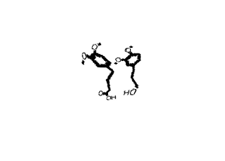 COc1ccc(CCCC(=O)O)cc1OC.COc1ccc(CCCO)cc1OC